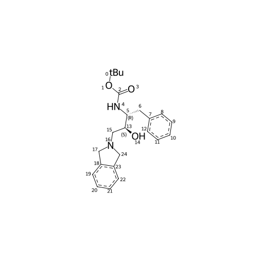 CC(C)(C)OC(=O)N[C@H](Cc1ccccc1)[C@@H](O)CN1Cc2ccccc2C1